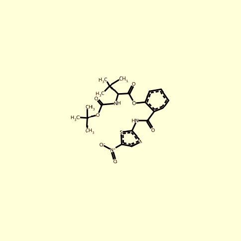 CC(C)(C)OC(=O)NC(C(=O)Oc1ccccc1C(=O)Nc1ncc([N+](=O)[O-])s1)C(C)(C)C